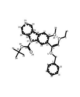 CCO/C=C(/OCc1ccccc1)c1cc2c(cc1OC)c1cnccc1n2C(=O)OC(C)(C)C